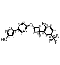 Oc1cc(-c2cnc(O[C@H]3C[C@@](F)(c4cc(C(F)(F)F)ccc4F)C3)cn2)on1